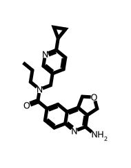 CCCN(Cc1ccc(C2CC2)nc1)C(=O)c1ccc2nc(N)c3c(c2c1)COC3